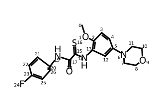 COc1ccc(N2CCOCC2)cc1NC(=S)C(=O)Nc1ccc(F)cc1